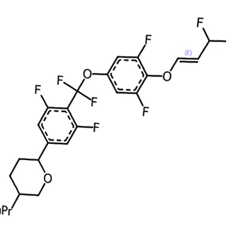 CCCC1CCC(c2cc(F)c(C(F)(F)Oc3cc(F)c(O/C=C/C(F)F)c(F)c3)c(F)c2)OC1